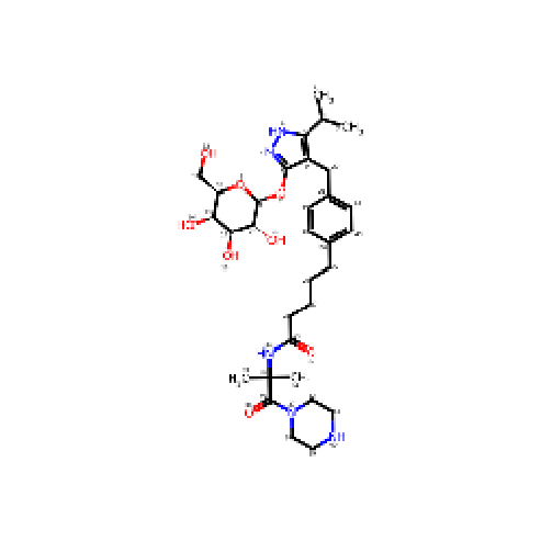 CC(C)c1[nH]nc(O[C@@H]2O[C@H](CO)[C@H](O)[C@H](O)[C@H]2O)c1Cc1ccc(CCCCC(=O)NC(C)(C)C(=O)N2CCNCC2)cc1